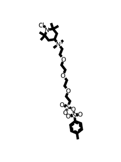 Cc1ccc(S(=O)(=O)OS(=O)(=O)CCOCCOCCOCC[N+](C)(C)C2CC(C)(C)N(Cl)C(C)(C)C2)cc1